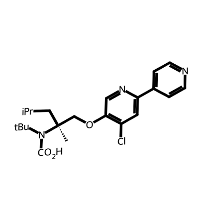 CC(C)C[C@@](C)(COc1cnc(-c2ccncc2)cc1Cl)N(C(=O)O)C(C)(C)C